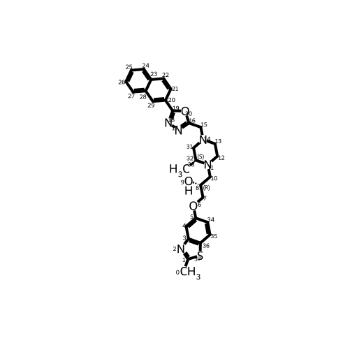 Cc1nc2cc(OC[C@H](O)CN3CCN(Cc4nnc(-c5ccc6ccccc6c5)o4)C[C@@H]3C)ccc2s1